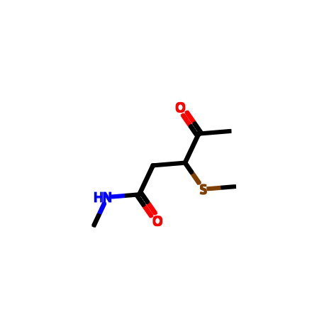 CNC(=O)CC(SC)C(C)=O